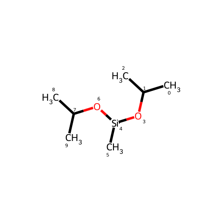 CC(C)O[Si](C)OC(C)C